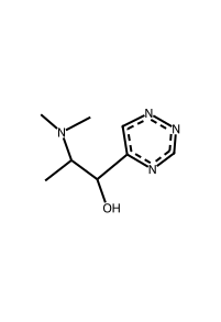 CC(C(O)c1cnncn1)N(C)C